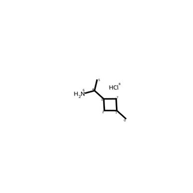 CC1CC(C(C)N)C1.Cl